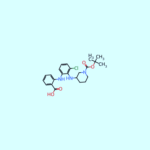 CC(C)(C)OC(=O)N1CCCC(Nc2c(Cl)cccc2Nc2ccccc2C(=O)O)C1